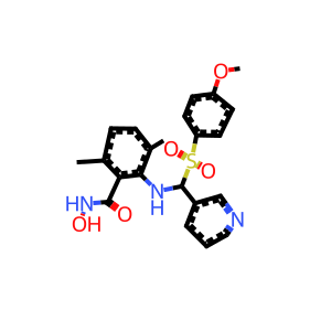 COc1ccc(S(=O)(=O)C(Nc2c(C)ccc(C)c2C(=O)NO)c2cccnc2)cc1